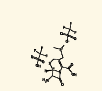 C[S+](C)CC1=C(C(=O)O)N2C(=O)C(N)[C@@H]2SC1.O=S(=O)(O)C(F)(F)F.O=S(=O)([O-])C(F)(F)F